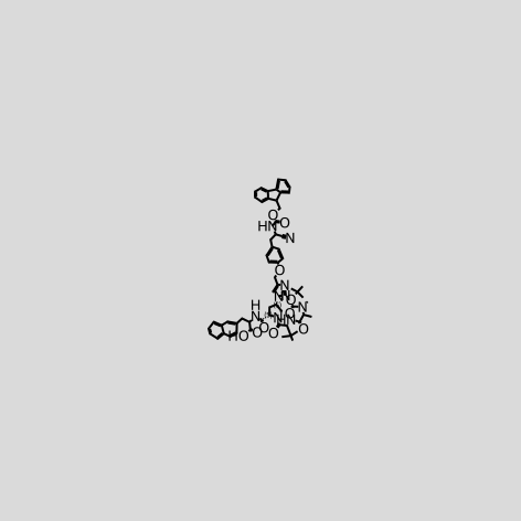 CC(C(=O)NC(C(=O)N1C[C@@H](n2cc(COc3ccc(CC(C#N)NC(=O)OCC4c5ccccc5-c5ccccc54)cc3)nn2)C[C@H]1C(=O)NC(Cc1ccc2ccccc2c1)C(=O)O)C(C)(C)C)N(C)C(=O)OC(C)(C)C